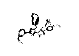 CC(C)[C@H](c1nc(-c2cccc(Cl)c2)cn1Cc1ccccc1)N(CCCN)C(=O)c1ccc(C(F)(F)F)nc1